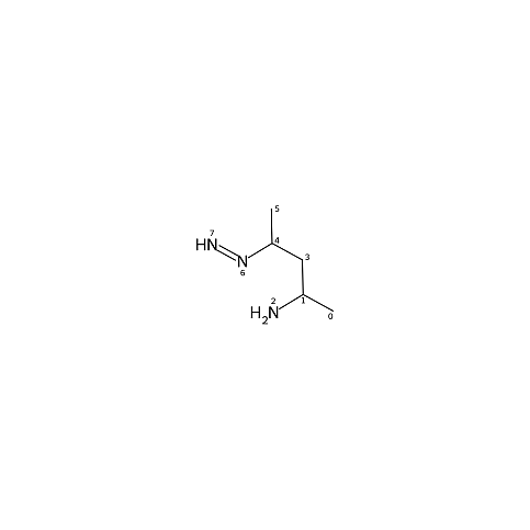 CC(N)CC(C)N=N